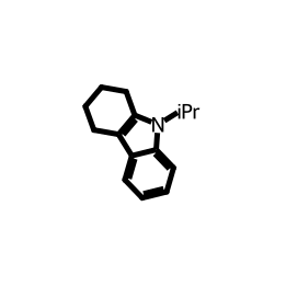 CC(C)n1c2c(c3ccccc31)CCCC2